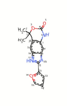 CC1(C)OC(=O)Nc2cc3nc(-c4ccco4)[nH]c3cc21